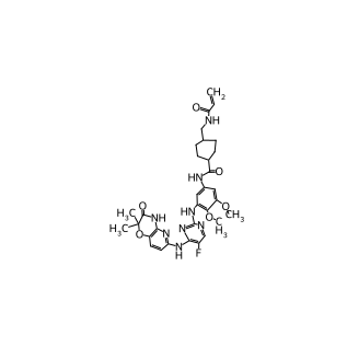 C=CC(=O)NCC1CCC(C(=O)Nc2cc(Nc3ncc(F)c(Nc4ccc5c(n4)NC(=O)C(C)(C)O5)n3)c(OC)c(OC)c2)CC1